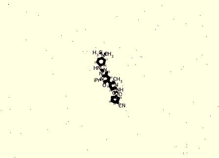 Cc1nc(NS(=O)(=O)c2cccc(C#N)c2)ccc1-c1cc2cnc(N[C@H]3CC[C@H](N(C)C)CC3)nc2n(C(C)C)c1=O